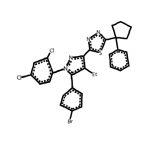 CCc1c(-c2nnc(C3(c4ccccc4)CCCC3)s2)nn(-c2ccc(Cl)cc2Cl)c1-c1ccc(Br)cc1